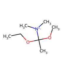 CCOC(C)(OC)[N+](C)C